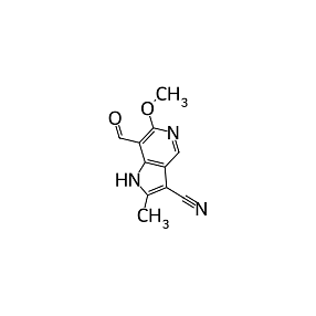 COc1ncc2c(C#N)c(C)[nH]c2c1C=O